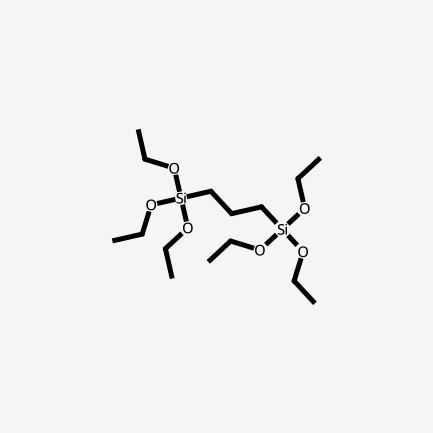 CCO[Si](CCC[Si](OCC)(OCC)OCC)(OCC)OCC